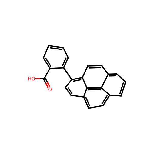 O=C(O)c1ccccc1-c1ccc2ccc3cccc4ccc1c2c34